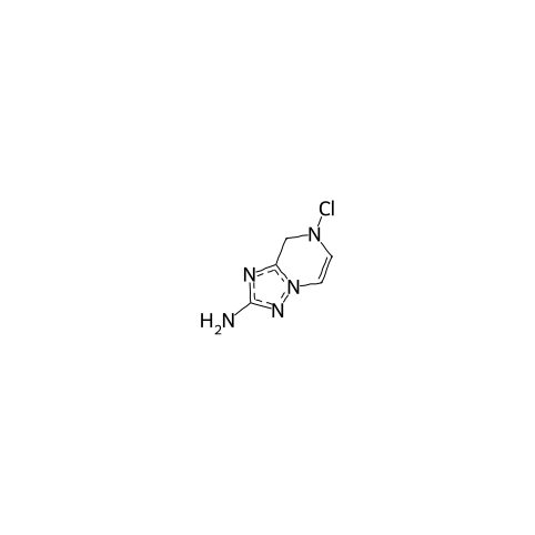 Nc1nc2n(n1)C=CN(Cl)C2